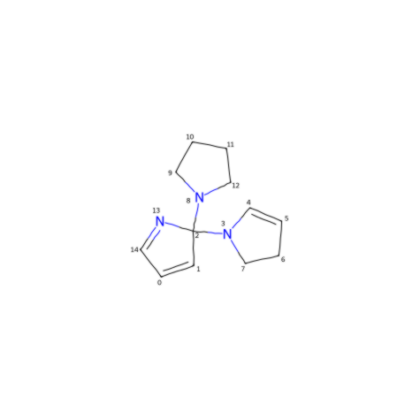 C1=CC(N2C=CCC2)(N2CCCC2)N=C1